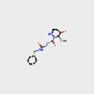 COc1c(C(=O)NCC(=O)NCc2ccccc2)[nH]ccc1=O